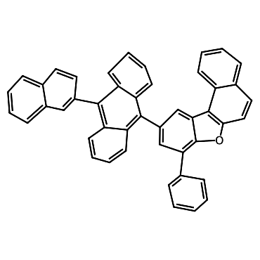 c1ccc(-c2cc(-c3c4ccccc4c(-c4ccc5ccccc5c4)c4ccccc34)cc3c2oc2ccc4ccccc4c23)cc1